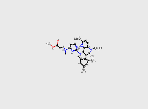 CCOC(=O)N1c2ccc(OC)nc2[C@@H](N(Cc2cc(C(F)(F)F)cc(C(F)(F)F)c2)c2nccc(N(C)CCC(=O)OC(C)(C)C)n2)C[C@H]1CC